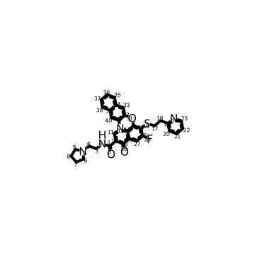 O=C(NCCN1CCCC1)c1cn2c3c(c(SCCc4ccccn4)c(F)cc3c1=O)Oc1cc3ccccc3cc1-2